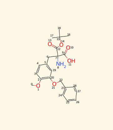 COc1ccc(CC(N)(C(=O)O)C(=O)OC(C)(C)C)cc1OCc1ccccc1